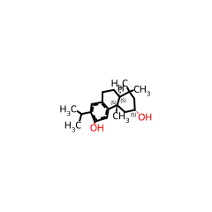 CC(C)c1cc2c(cc1O)[C@@]1(C)C[C@@H](O)CC(C)(C)[C@@H]1CC2